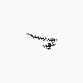 C[C@H](Cn1cnc2c(N)ncnc21)OCP(=O)(O)OCCCOCCCCCCCCCCC#CC(C)(C)C